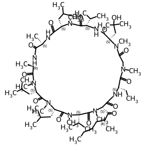 CCCC[C@@H](C)C(=O)[C@H]1C(=O)N[C@@H](CC)C(=O)N(C)CC(=O)N(C)[C@@H](CC(C)(C)O)C(=O)N[C@@H](C(C)C)C(=O)N(C)[C@@H](CC(C)C)C(=O)N[C@@H](C)C(=O)N[C@H](C)C(=O)N(C)[C@@H](CC(C)C)C(=O)N(C)[C@@H](CC(C)C)C(=O)N(C)[C@@H](C(C)C)C(=O)N1C